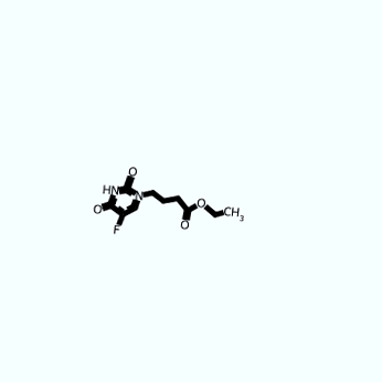 CCOC(=O)CCCn1cc(F)c(=O)[nH]c1=O